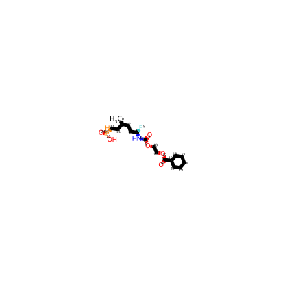 CC(CCC(F)NC(=O)OCCOC(=O)C1CCCCC1)CC[PH](=O)O